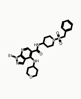 CCn1ncc2c(NC3CCOCC3)c(C(=O)NC3CCN(S(=O)(=O)Cc4ccccc4)CC3)cnc21